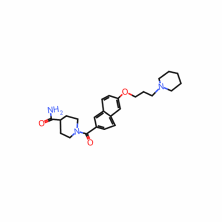 NC(=O)C1CCN(C(=O)c2ccc3cc(OCCCN4CCCCC4)ccc3c2)CC1